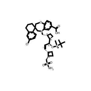 CC(C)(C)[Si](C)(C)O[C@@H](/C=C\[C@@H]1CC[C@H]1CS(N)(=O)=O)[C@@H]1CC[C@H]1CN1CC2(CCCc3cc(Cl)ccc32)COc2ccc(C(=O)O)cc21